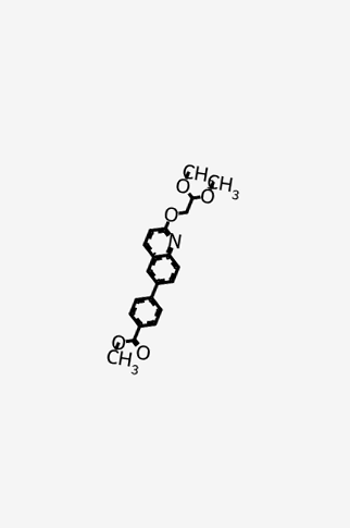 COC(=O)c1ccc(-c2ccc3nc(OCC(OC)OC)ccc3c2)cc1